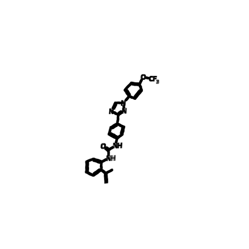 C=C(C)c1ccccc1NC(=O)Nc1ccc(-c2ncn(-c3ccc(OC(F)(F)F)cc3)n2)cc1